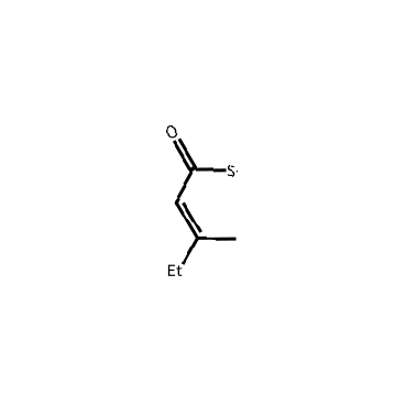 CCC(C)=CC(=O)[S]